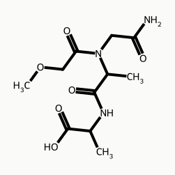 COCC(=O)N(CC(N)=O)C(C)C(=O)NC(C)C(=O)O